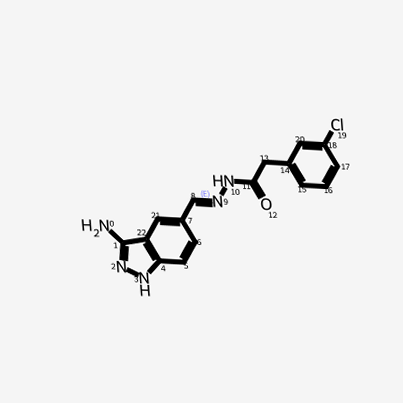 Nc1n[nH]c2ccc(/C=N/NC(=O)Cc3cccc(Cl)c3)cc12